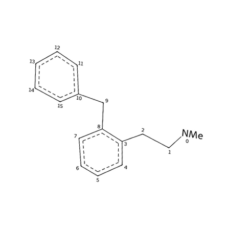 CNCCc1ccccc1Cc1ccccc1